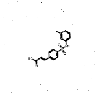 Cc1cccc(NS(=O)(=O)c2ccc(C=CC(=O)O)cc2)c1